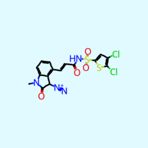 CN1C(=O)C([N+]#N)c2c(C=CC(=O)NS(=O)(=O)c3cc(Cl)c(Cl)s3)cccc21